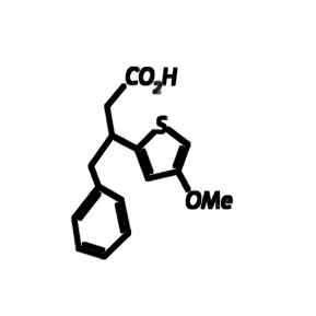 COc1csc(C(CC(=O)O)Cc2ccccc2)c1